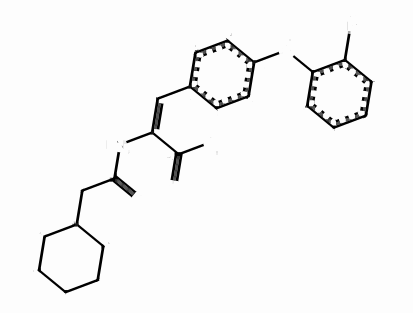 O=C(CC1CCCCC1)NC(=Cc1ccc(Oc2ccccc2Br)cc1)C(=O)O